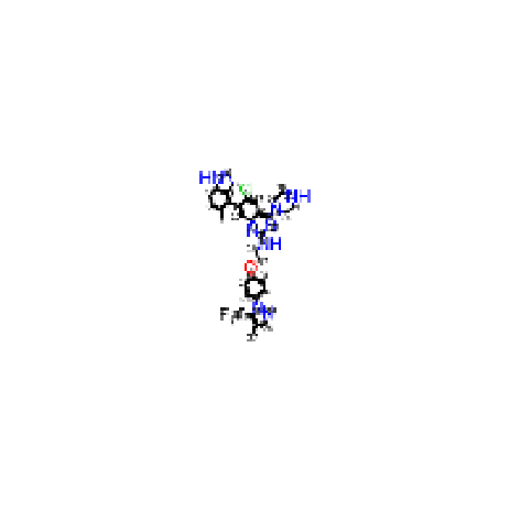 Cc1ccc2[nH]ncc2c1-c1cc2nc(NCCOc3ccc(-n4ncc(C)c4C(F)(F)F)cc3)nc(N3CCNCC3)c2cc1Cl